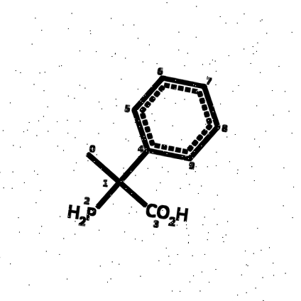 CC(P)(C(=O)O)c1ccccc1